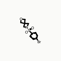 O=S(=O)(c1ccc(Br)cc1)N1CC2(COC2)C1